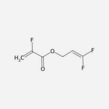 C=C(F)C(=O)OCC=C(F)F